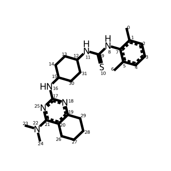 Cc1cccc(C)c1NC(=S)NC1CCC(Nc2nc3c(c(N(C)C)n2)CCCC3)CC1